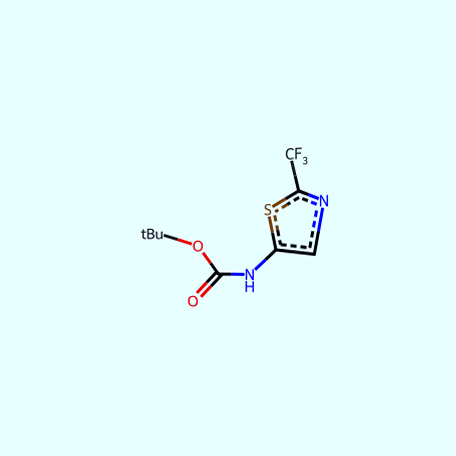 CC(C)(C)OC(=O)Nc1cnc(C(F)(F)F)s1